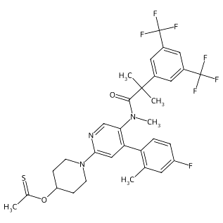 CC(=S)OC1CCN(c2cc(-c3ccc(F)cc3C)c(N(C)C(=O)C(C)(C)c3cc(C(F)(F)F)cc(C(F)(F)F)c3)cn2)CC1